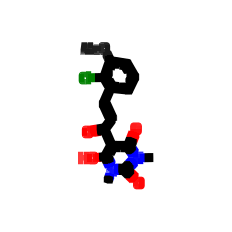 COc1cccc(/C=C/C(=O)c2c(O)n(C)c(=O)n(C)c2=O)c1Cl